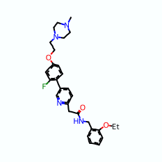 CCOc1ccccc1CNC(=O)Cc1ccc(-c2ccc(OCCN3CCN(C)CC3)cc2F)cn1